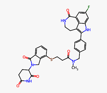 CN(Cc1ccc(-c2[nH]c3cc(F)cc4c3c2CCNC4=O)cc1)C(=O)CCSc1cccc2c1CN(C1CCC(=O)NC1=O)C2=O